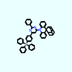 c1ccc(-c2nc(-c3ccc([Si](c4ccccc4)(c4ccccc4)c4ccccc4)cc3)cc(N3c4ccccc4C4(c5ccccc53)C3CC5CC(C3)CC4C5)n2)cc1